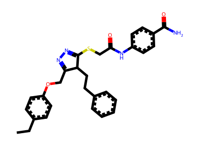 CCc1ccc(OCC2=NN=C(SCC(=O)Nc3ccc(C(N)=O)cc3)C2CCc2ccccc2)cc1